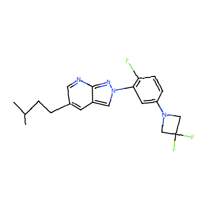 CC(C)CCc1cnc2nn(-c3cc(N4CC(F)(F)C4)ccc3F)cc2c1